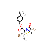 C[C@@]1(CBr)S[C@H]2[C@@H](Br)C(=O)N2[C@H]1C(=O)OCc1ccc([N+](=O)[O-])cc1